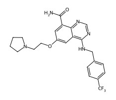 NC(=O)c1cc(OCCN2CCCC2)cc2c(NCc3ccc(C(F)(F)F)cc3)ncnc12